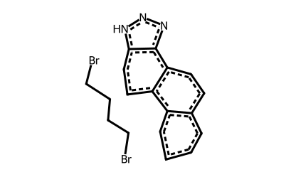 BrCCCCBr.c1ccc2c(c1)ccc1c2ccc2[nH]nnc21